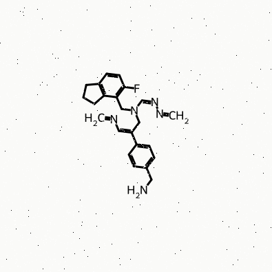 C=N/C=C(\CN(/C=N\N=C)Cc1c(F)ccc2c1CCC2)c1ccc(CN)cc1